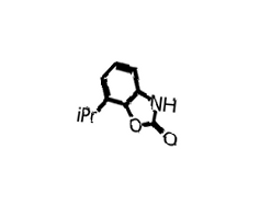 CC(C)C1=CC=CC2NC(=O)OC12